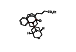 CCOC(=O)CCCc1nc2ccccc2n(C2C[C@H]3COC[C@@H](C2)N3C2CC3CCCCC(C3)C2)c1=O